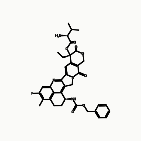 CC[C@@]1(OC(=O)[C@@H](N)C(C)C)C(=O)OCc2c1cc1n(c2=O)Cc2c-1nc1cc(F)c(C)c3c1c2[C@@H](NC(=O)OCc1ccccc1)CC3